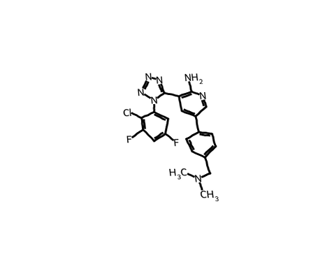 CN(C)Cc1ccc(-c2cnc(N)c(-c3nnnn3-c3cc(F)cc(F)c3Cl)c2)cc1